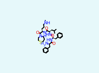 CNCCC[C@@H](NC(=O)[C@@H](CC(C)C)NO[C@@H](Cc1ccccc1)NC(=O)[C@H](N)Cc1ccccc1)C(=O)N1CCCSCC1